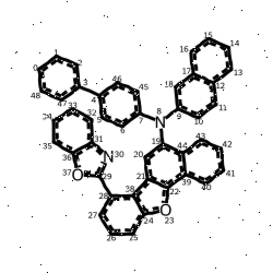 c1ccc(-c2ccc(N(c3ccc4ccccc4c3)c3cc4c(oc5cccc(-c6nc7ccccc7o6)c54)c4ccccc34)cc2)cc1